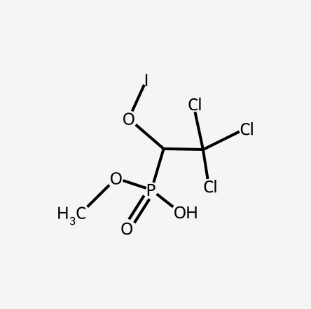 COP(=O)(O)C(OI)C(Cl)(Cl)Cl